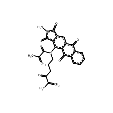 C=C(C)C(=O)CCCN(C(=O)C(=C)C)c1c2c(=O)c3ccccc3c(=O)c2cc2c(=O)n(N)c(=O)c12